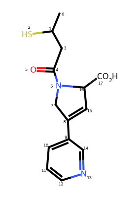 CC(S)CC(=O)N1CC(c2cccnc2)=CC1C(=O)O